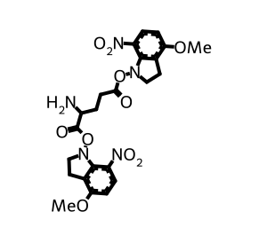 COc1ccc([N+](=O)[O-])c2c1CCN2OC(=O)CCC(N)C(=O)ON1CCc2c(OC)ccc([N+](=O)[O-])c21